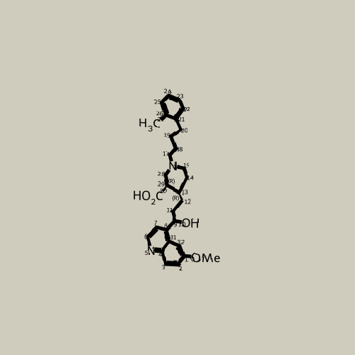 COc1ccc2nccc(C(O)CC[C@@H]3CCN(CCCCc4ccccc4C)C[C@@H]3C(=O)O)c2c1